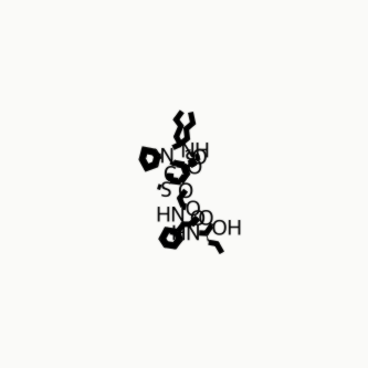 CCCCC1(CCCC)CN(c2ccccc2)c2cc(SC)c(OCC(=O)N[C@@H](C(=O)N[C@@H](CCC)C(=O)O)c3ccccc3)cc2S(=O)(=O)N1